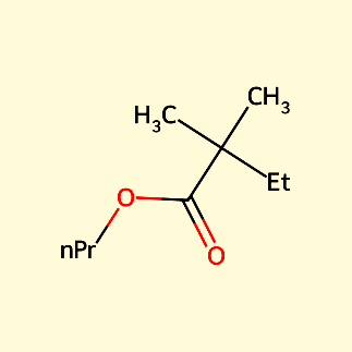 C[CH]COC(=O)C(C)(C)CC